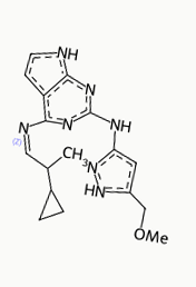 COCc1cc(Nc2nc(/N=C\C(C)C3CC3)c3cc[nH]c3n2)n[nH]1